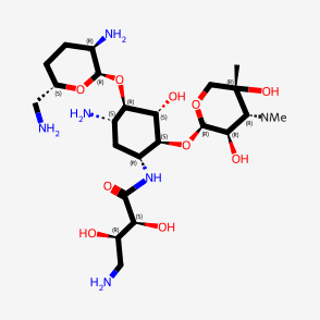 CN[C@@H]1[C@@H](O)[C@@H](O[C@@H]2[C@@H](O)[C@H](O[C@H]3O[C@H](CN)CC[C@H]3N)[C@@H](N)C[C@H]2NC(=O)[C@@H](O)[C@H](O)CN)OC[C@]1(C)O